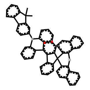 CC1(C)c2ccccc2-c2ccc(N(c3ccccc3)c3ccccc3-c3cccc4c3-c3ccccc3C43c4ccc5ccccc5c4Oc4c3ccc3ccccc43)cc21